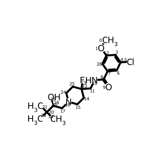 COc1cc(Cl)cc(C(=O)NCC2(F)CCN(C[C@H](O)C(C)(C)C)CC2)c1